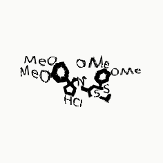 COc1ccc(C2(CN(C)CC(C)CC3(c4ccc(OC)c(OC)c4)SCCCS3)CCCC2)cc1OC.Cl